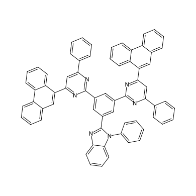 c1ccc(-c2cc(-c3cc4ccccc4c4ccccc34)nc(-c3cc(-c4nc(-c5ccccc5)cc(-c5cc6ccccc6c6ccccc56)n4)cc(-c4nc5ccccc5n4-c4ccccc4)c3)n2)cc1